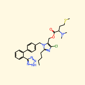 CCCCc1nc(Cl)c(COC(=O)C(CCSC)N(C)C)n1Cc1ccc(-c2ccccc2-c2nn[nH]n2)cc1